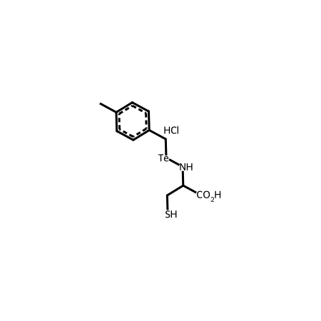 Cc1ccc(C[Te]NC(CS)C(=O)O)cc1.Cl